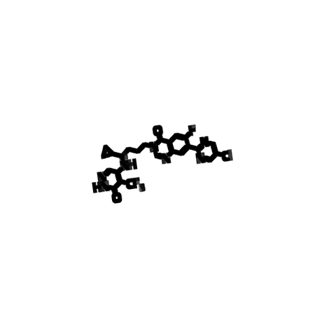 O=c1[nH]ncc(N[C@H](CCCn2cnc3cc(-c4ncc(Cl)cn4)c(F)cc3c2=O)C2CC2)c1C(F)(F)F